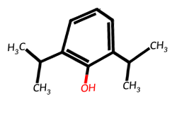 CC(C)c1c[c]cc(C(C)C)c1O